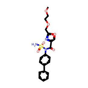 COCCOCc1nc(C(=O)N(c2ccc(-c3ccccc3)cc2)S(N)(=O)=O)co1